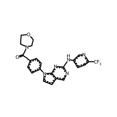 O=C(c1ccc(-n2ccc3cnc(Nc4ccc(C(F)(F)F)nc4)nc32)cc1)N1CCOCC1